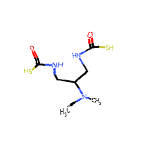 CN(C)C(CNC(=O)S)CNC(=O)S